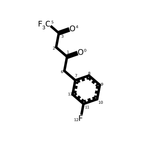 O=C(CC(=O)C(F)(F)F)Cc1cccc(F)c1